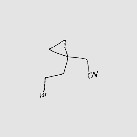 N#CCC1(CCBr)CC1